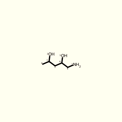 C[C](O)CC(O)CN